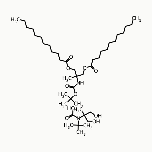 CC(C)(C)N(C(=O)O)C(C)(CO)CO.CCCCCCCCCCCC(=O)OCC(C)(COC(=O)CCCCCCCCCCC)NC(=O)OC(C)(C)C